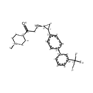 CN1CCN(C(=O)CN[C@H]2CC2c2ccc(-c3cccc(C(F)(F)F)c3)cc2)CC1